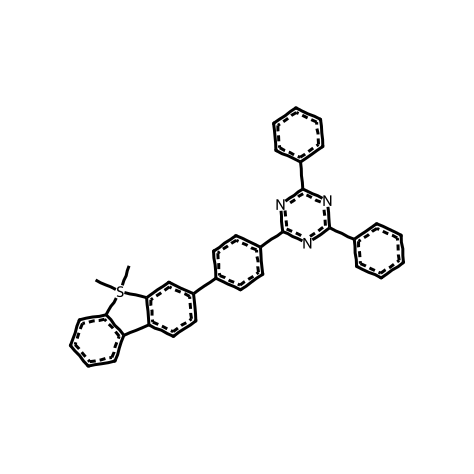 CS1(C)c2ccccc2-c2ccc(-c3ccc(-c4nc(-c5ccccc5)nc(-c5ccccc5)n4)cc3)cc21